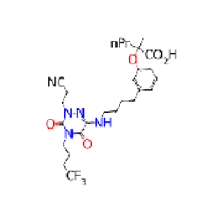 CCCC(C)(Oc1cccc(CCCCNc2nn(CCC#N)c(=O)n(CCCC(F)(F)F)c2=O)c1)C(=O)O